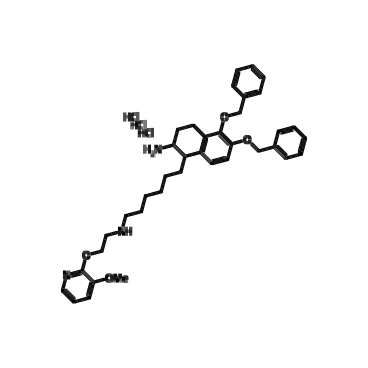 COc1cccnc1OCCNCCCCCCC1c2ccc(OCc3ccccc3)c(OCc3ccccc3)c2CCC1N.Cl.Cl.Cl